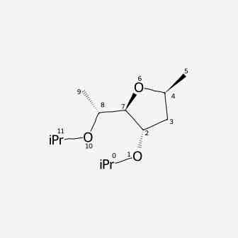 CC(C)O[C@H]1C[C@H](C)O[C@@H]1[C@@H](C)OC(C)C